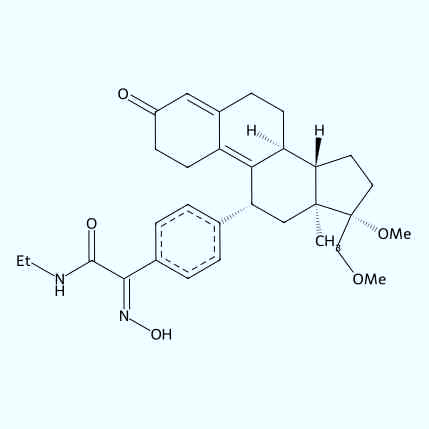 CCNC(=O)/C(=N/O)c1ccc([C@H]2C[C@@]3(C)[C@@H](CC[C@]3(COC)OC)[C@@H]3CCC4=CC(=O)CCC4=C32)cc1